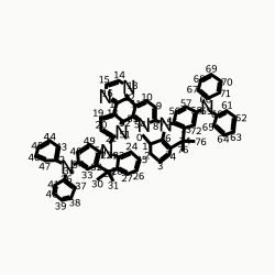 CC1CC=CC2=C1N(c1ccc3c4nccnc4c4ccc(N5c6ccccc6C(C)(C)c6cc(N(c7ccccc7)c7ccccc7)ccc65)nc4c3n1)c1ccc(N(c3ccccc3)c3ccccc3)cc1C2(C)C